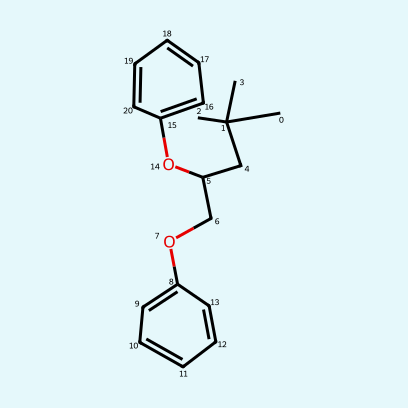 CC(C)(C)CC(COc1ccccc1)Oc1ccccc1